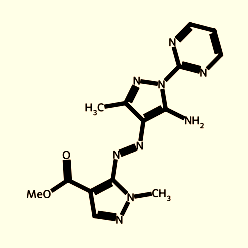 COC(=O)c1cnn(C)c1/N=N/c1c(C)nn(-c2ncccn2)c1N